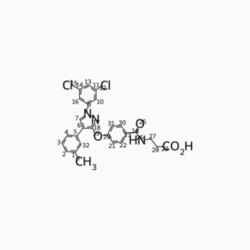 Cc1cccc(-c2cn(-c3cc(Cl)cc(Cl)c3)nc2Oc2ccc(C(=O)NCCC(=O)O)cc2)c1